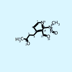 CC(=O)CCc1ccnc(N(C)N=O)c1C=O